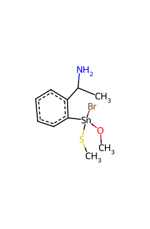 C[O][Sn]([Br])([S]C)[c]1ccccc1C(C)N